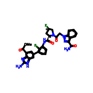 COC(=O)c1cc(-c2cccc(NC(=O)[C@@H]3C[C@@H](F)CN3C(=O)Cn3nc(C(N)=O)c4ccccc43)c2F)cc2[nH]c(N)nc12